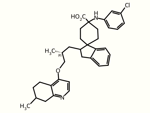 CC1CCc2c(OC[C@H](C)CC3Cc4ccccc4C34CCC(Nc3cccc(Cl)c3)(C(=O)O)CC4)ccnc2C1